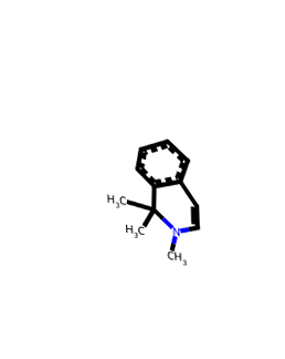 CN1C=Cc2ccccc2C1(C)C